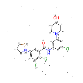 O=C(Nc1cc(Cl)cc(N2CCC(O)CC2)c1)c1cc(N2CCCS2)cc(F)c1Cl